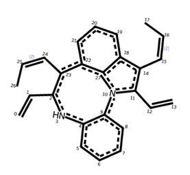 C=Cc1[nH]c2ccccc2n2c(C=C)c(/C=C\C)c3cccc(c1/C=C\C)c32